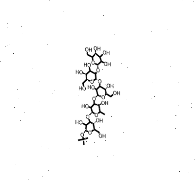 CC1O[C@@H](OC2C(O)[C@H](OC(C)(C)C)OC(CO)[C@H]2O)C(O)C(O[C@@H]2OC(CO)[C@@H](O)C(O[C@@H]3OC(CO)[C@@H](O)C(O)C3O[C@H]3OC(CO)[C@@H](O)C(O)C3O)C2O)[C@H]1O